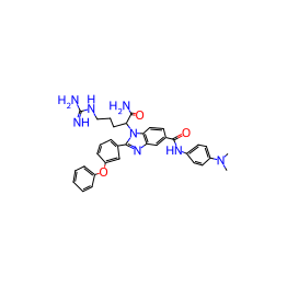 CN(C)c1ccc(NC(=O)c2ccc3c(c2)nc(-c2cccc(Oc4ccccc4)c2)n3C(CCCNC(=N)N)C(N)=O)cc1